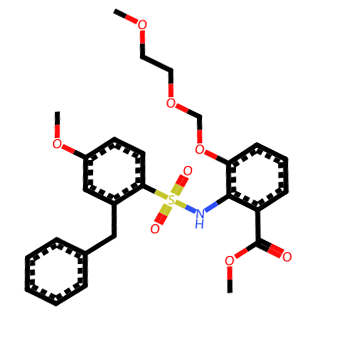 COCCOCOc1cccc(C(=O)OC)c1NS(=O)(=O)c1ccc(OC)cc1Cc1ccccc1